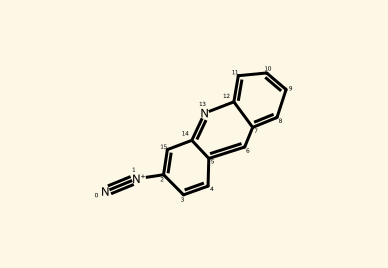 N#[N+]c1ccc2cc3ccccc3nc2c1